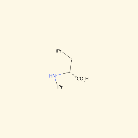 CC(C)C[C@@H](NC(C)C)C(=O)O